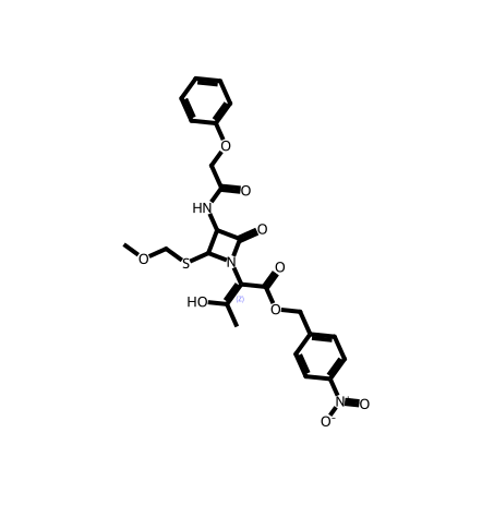 COCSC1C(NC(=O)COc2ccccc2)C(=O)N1/C(C(=O)OCc1ccc([N+](=O)[O-])cc1)=C(/C)O